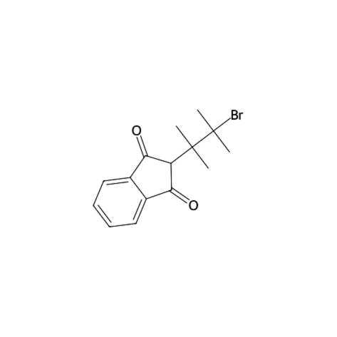 CC(C)(Br)C(C)(C)C1C(=O)c2ccccc2C1=O